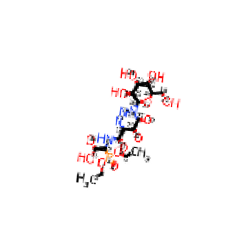 CCOP(=O)(OCC)C(NC(=O)C1N=NN(C2OC(CO)C(O)C(O)C2O)C(=O)C1=O)C(=O)O